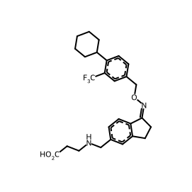 O=C(O)CCNCc1ccc2c(c1)CC/C2=N/OCc1ccc(C2CCCCC2)c(C(F)(F)F)c1